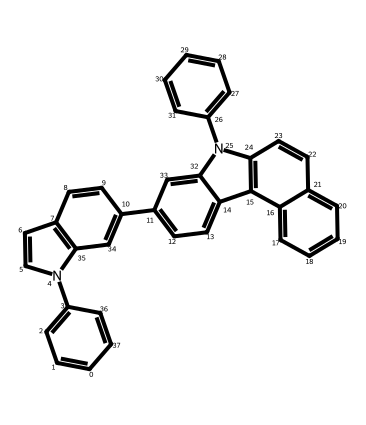 c1ccc(-n2ccc3ccc(-c4ccc5c6c7ccccc7ccc6n(-c6ccccc6)c5c4)cc32)cc1